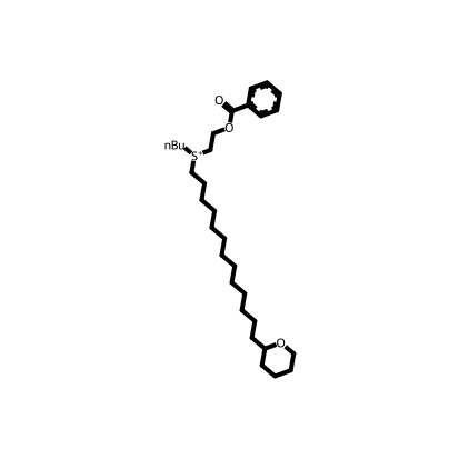 CCCC[S+](CCCCCCCCCCCCCC1CCCCO1)CCOC(=O)c1ccccc1